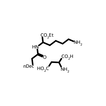 CCCCCCCCCCCC(=O)NC(CCCCN)C(=O)OCC.NC(CC(=O)O)C(=O)O